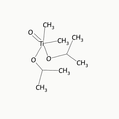 CC(C)[O][Ti]([CH3])([CH3])(=[O])[O]C(C)C